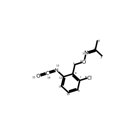 CC(C)=NOCc1c(Cl)cccc1N=C=O